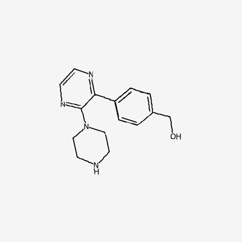 OCc1ccc(-c2nccnc2N2CCNCC2)cc1